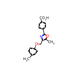 Cc1ccc(OCc2nc(-c3ccc(C(=O)O)cc3)oc2C)cc1